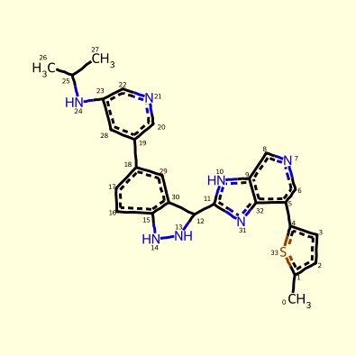 Cc1ccc(-c2cncc3[nH]c(C4NNc5ccc(-c6cncc(NC(C)C)c6)cc54)nc23)s1